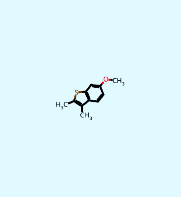 COc1ccc2c(C)c(C)sc2c1